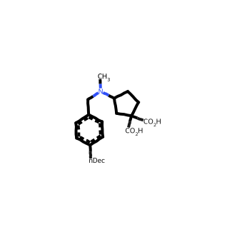 CCCCCCCCCCc1ccc(CN(C)C2CCC(C(=O)O)(C(=O)O)C2)cc1